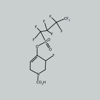 O=C(O)N1CC=C(OS(=O)(=O)C(F)(F)C(F)(F)C(F)(F)C(F)(F)F)C(F)C1